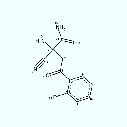 CC(C#N)(CC(=O)c1ccccc1F)C(N)=O